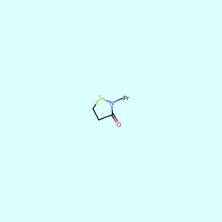 CC(C)N1SCCC1=O